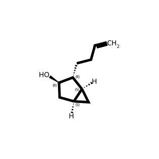 C=CCC[C@@H]1[C@H]2C[C@H]2C[C@H]1O